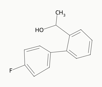 CC(O)c1ccccc1-c1ccc(F)cc1